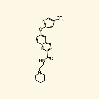 O=C(NCCN1CCCCC1)c1ccc2cc(Oc3ccc(C(F)(F)F)cn3)ccc2n1